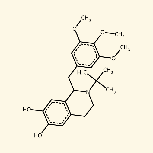 COc1cc(CC2c3cc(O)c(O)cc3CCN2C(C)(C)C)cc(OC)c1OC